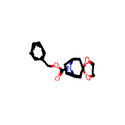 O=C(OCc1ccccc1)N1C2CCC1CC1(C2)OCCO1